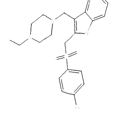 CCN1CCN(Cc2c(CS(=O)(=O)c3ccc(Br)cc3)[nH]c3ccccc23)CC1